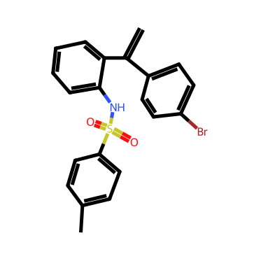 C=C(c1ccc(Br)cc1)c1ccccc1NS(=O)(=O)c1ccc(C)cc1